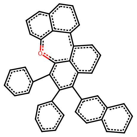 c1ccc(-c2c(-c3ccc4ccccc4c3)c3cccc4c5cccc6cccc(oc(c2-c2ccccc2)c34)c65)cc1